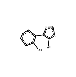 CCCc1snnc1-c1ccccc1O